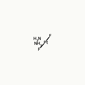 N.N.[F][Pt][F]